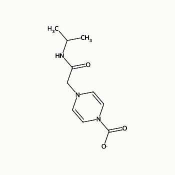 CC(C)NC(=O)CN1C=CN(C([O])=O)C=C1